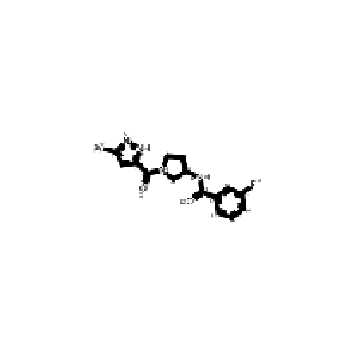 CC(C)c1cc(C(=O)N2CCC(NC(=O)c3cccc(F)c3)C2)[nH]n1